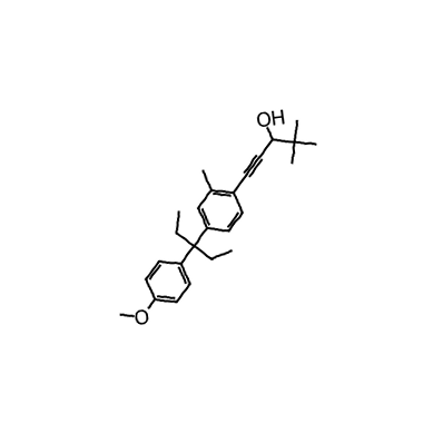 CCC(CC)(c1ccc(OC)cc1)c1ccc(C#CC(O)C(C)(C)C)c(C)c1